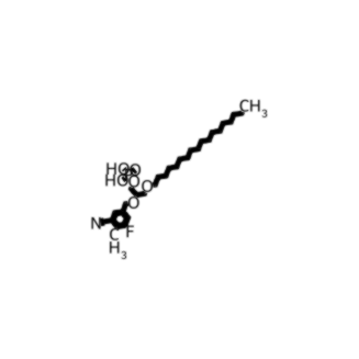 CCCCCCCCCCCCCCCCCCOCC(COP(=O)(O)O)OCc1cc(F)c(C)c(C#N)c1